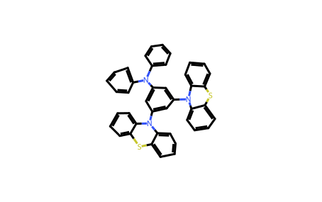 c1ccc(N(c2ccccc2)c2cc(N3c4ccccc4Sc4ccccc43)cc(N3c4ccccc4Sc4ccccc43)c2)cc1